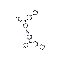 Cc1ccc(N(c2ccc(/C=C/c3ccc(N(c4ccc(C)cc4)c4ccc(-c5ccccc5)cc4)cc3)cc2)c2ccc(-c3ccccc3)cc2)cc1